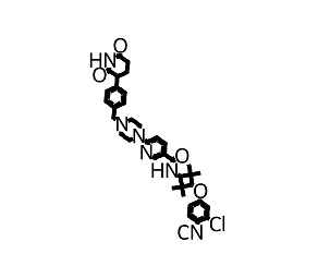 CC1(C)C(NC(=O)c2ccc(N3CCN(Cc4ccc(C5CCC(=O)NC5=O)cc4)CC3)nc2)C(C)(C)C1Oc1ccc(C#N)c(Cl)c1